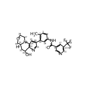 Cc1ccc(NC(=O)c2cncc(C(F)(F)F)c2)cc1-c1cnc2c(c1)N1CCOC[C@@H]1C[C@@H]2O